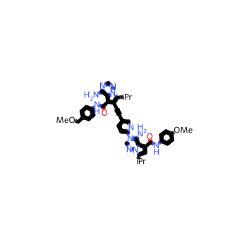 COCc1ccc(NC(=O)c2c(C#Cc3ccc(-[n+]4cnn5c(C(C)C)cc(C(=O)Nc6ccc(OC)cc6)c5c4N)nc3)c(C(C)C)n3ncnc(N)c23)cc1